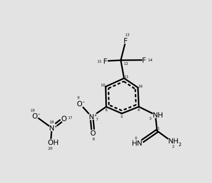 N=C(N)Nc1cc([N+](=O)[O-])cc(C(F)(F)F)c1.O=[N+]([O-])O